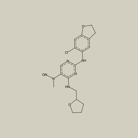 CN(N=O)c1cnc(Nc2cc3c(cc2Cl)OCC3)nc1NCC1CCCO1